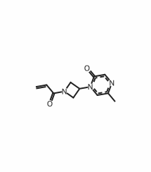 C=CC(=O)N1CC(n2cc(C)ncc2=O)C1